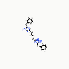 c1ccc(Cc2nc(CCCCc3n[nH]c(Cc4ccccc4)n3)n[nH]2)cc1